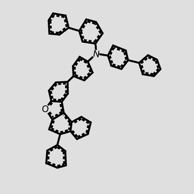 c1ccc(-c2ccc(N(c3ccc(-c4ccc5oc6cc(-c7ccccc7)c7ccccc7c6c5c4)cc3)c3cccc(-c4ccccc4)c3)cc2)cc1